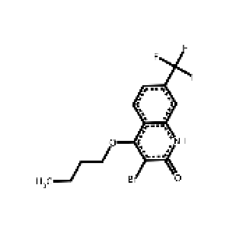 CCCCOc1c(Br)c(=O)[nH]c2cc(C(F)(F)F)ccc12